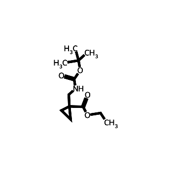 CCOC(=O)C1(CNC(=O)OC(C)(C)C)CC1